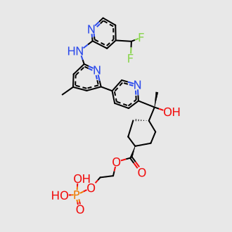 Cc1cc(Nc2cc(C(F)F)ccn2)nc(-c2ccc([C@](C)(O)[C@H]3CC[C@H](C(=O)OCCOP(=O)(O)O)CC3)nc2)c1